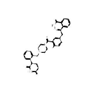 O=C1CCC(c2ccccc2CN2CCN(C(=O)c3cc(Cc4n[nH]c(=O)c5ccccc45)ccc3F)CC2)C(=O)N1